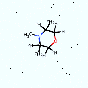 [2H]C1([2H])OC([2H])([2H])C([2H])([2H])N(C)C1([2H])[2H]